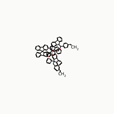 C=Cc1ccc(CC2(c3ccccc3)c3ccccc3-c3ccc(N(c4ccc5c(c4)C4(c6ccccc6-c6ccc(N(c7ccc8c(c7)C(C(c7ccccc7)c7ccc(C=C)cc7)c7ccccc7-8)c7cccc8ccccc78)cc64)c4ccccc4-5)c4cccc5ccccc45)cc32)cc1